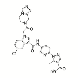 CCCC(=O)c1cnn(-c2ccc(NC(=O)c3cn(CC(=O)N4CCn5cnnc5C4)c4ccc(Cl)cc34)nn2)c1C